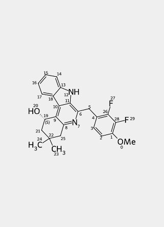 COc1ccc(Cc2nc3c(c4c2[nH]c2ccccc24)[C@@H](O)CC(C)(C)C3)c(F)c1F